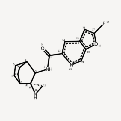 O=C(NC1C2CCC(CC2)[C@@]12CN2)c1cc2cc(F)oc2cn1